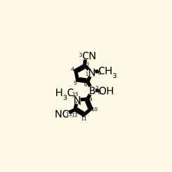 Cn1c(C#N)ccc1B(O)c1ccc(C#N)n1C